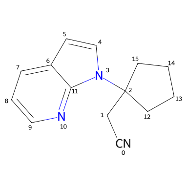 N#CCC1(n2ccc3cccnc32)CCCC1